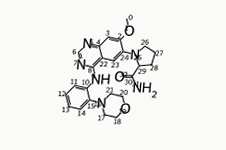 COc1cc2ncnc(Nc3ccccc3N3CCOCC3)c2cc1N1CCCC1C(N)=O